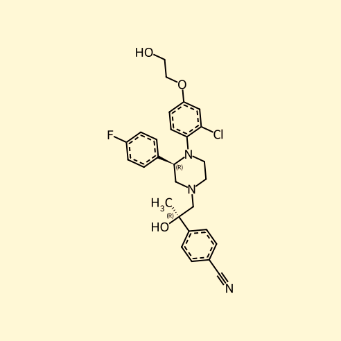 C[C@](O)(CN1CCN(c2ccc(OCCO)cc2Cl)[C@H](c2ccc(F)cc2)C1)c1ccc(C#N)cc1